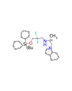 C[C@H](Cn1ccc2ccccc21)NCC(F)(F)CO[Si](c1ccccc1)(c1ccccc1)C(C)(C)C